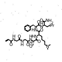 C=CC(=O)NCC(=O)NCC(=O)N[C@@H](CO)C(=O)NC(CCCCN(C)C)C(=O)N[C@@H](Cc1ccccc1)C(=O)NC(CC(C)C)C(N)=O